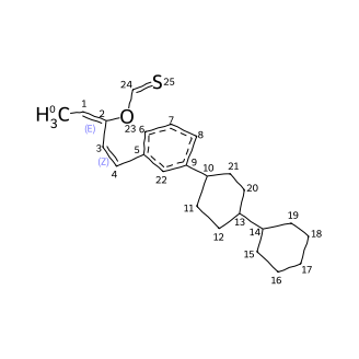 C/C=C(\C=C/c1cccc(C2CCC(C3CCCCC3)CC2)c1)OC=S